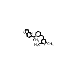 Cc1cc(CC2CCCN(C(C)c3ccc4occc4n3)C2)cc(C)n1